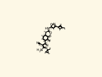 CC12CC(c3cc(NC(=O)Cc4ccc(-c5nn(C6(C)CC6)c(N)c5C#N)c(F)c4F)on3)(C1)C2